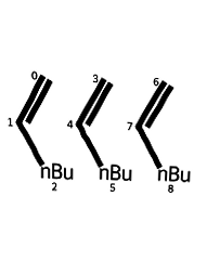 C=CCCCC.C=CCCCC.C=CCCCC